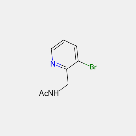 CC(=O)NCc1ncccc1Br